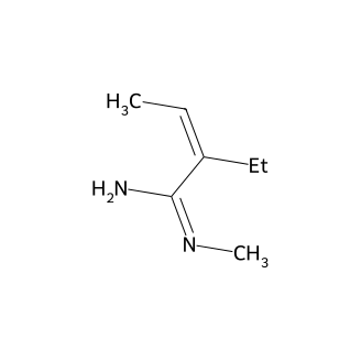 C/C=C(CC)\C(N)=N/C